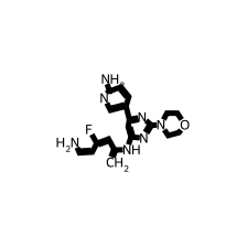 C=C(/C=C(F)\C=C/N)Nc1cc(-c2ccc(N)nc2)nc(N2CCOCC2)n1